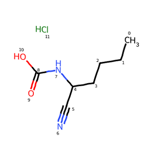 CCCCC(C#N)NC(=O)O.Cl